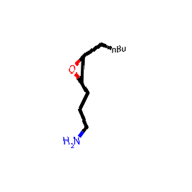 CCCCCC1OC1CCCN